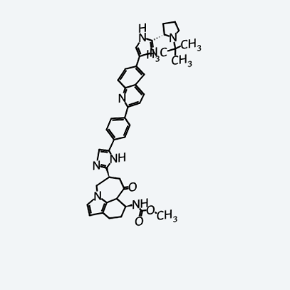 COC(=O)N[C@H]1CCc2ccn3c2C1C(=O)C[C@H](c1ncc(-c2ccc(-c4ccc5cc(-c6c[nH]c([C@@H]7CCCN7C(C)(C)C)n6)ccc5n4)cc2)[nH]1)C3